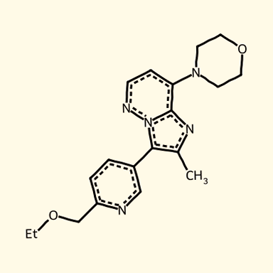 CCOCc1ccc(-c2c(C)nc3c(N4CCOCC4)ccnn23)cn1